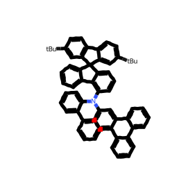 CC(C)(C)c1ccc2c(c1)C1(c3cc(C(C)(C)C)ccc3-2)c2ccccc2-c2c(N(c3ccc4c5ccccc5c5ccccc5c4c3)c3ccccc3-c3ccccc3)cccc21